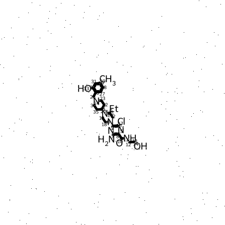 CC[C@H]1CN(c2nc(N)c(C(=O)NCCO)nc2Cl)CCN1C1CCN(Cc2ccc(C)cc2O)CC1